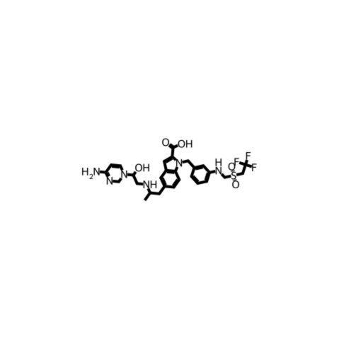 CC(Cc1ccc2c(c1)cc(C(=O)O)n2Cc1cccc(NCS(=O)(=O)CC(F)(F)F)c1)NCC(O)N1C=CC(N)=NC1